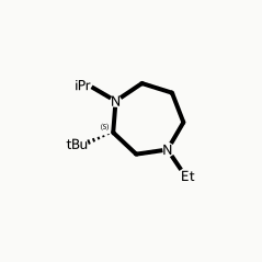 CCN1CCCN(C(C)C)[C@@H](C(C)(C)C)C1